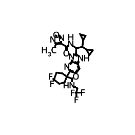 Cc1nonc1C(=O)NC(c1nc2nc(C3(C(=O)NCC(F)(F)F)CCC(F)(F)CC3)ccc2[nH]1)C(C1CC1)C1CC1